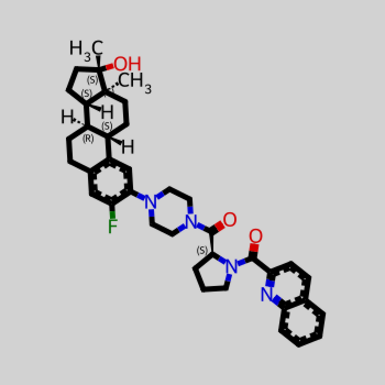 C[C@]1(O)CC[C@H]2[C@@H]3CCc4cc(F)c(N5CCN(C(=O)[C@@H]6CCCN6C(=O)c6ccc7ccccc7n6)CC5)cc4[C@H]3CC[C@@]21C